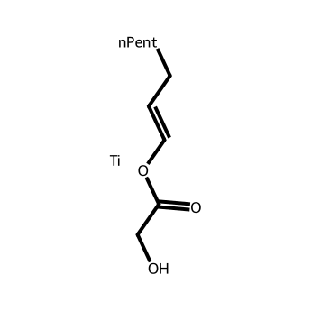 CCCCCCC=COC(=O)CO.[Ti]